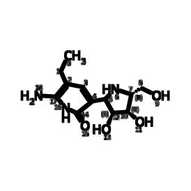 CCc1cc(C2N[C@H](CO)[C@@H](O)[C@H]2O)c(=O)[nH]c1N